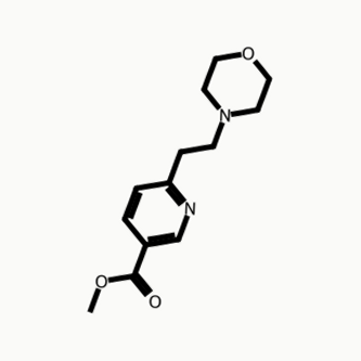 COC(=O)c1ccc(CCN2CCOCC2)nc1